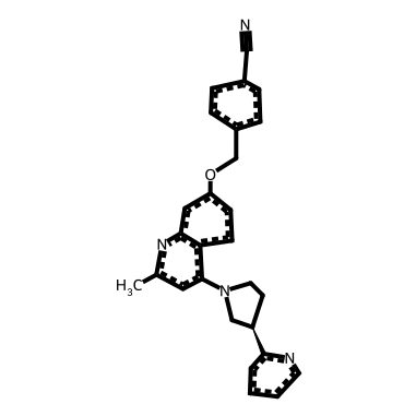 Cc1cc(N2CC[C@@H](c3ccccn3)C2)c2ccc(OCc3ccc(C#N)cc3)cc2n1